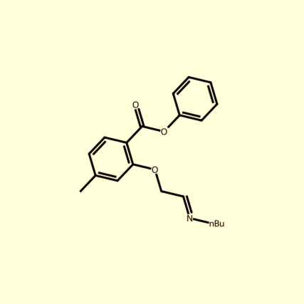 CCCCN=CCOc1cc(C)ccc1C(=O)Oc1ccccc1